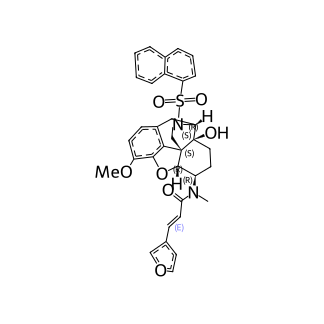 COc1ccc2c3c1O[C@H]1[C@H](N(C)C(=O)/C=C/c4ccoc4)CC[C@@]4(O)[C@@H](C2)N(S(=O)(=O)c2cccc5ccccc25)CC[C@]314